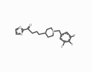 O=C(CCCC1CCN(Cc2cc(F)c(F)c(F)c2)CC1)c1ncco1